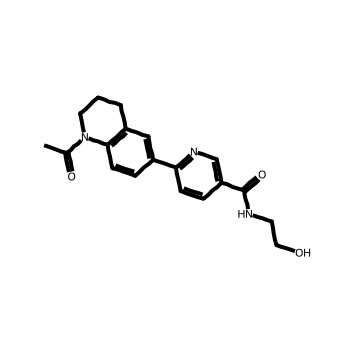 CC(=O)N1CCCc2cc(-c3ccc(C(=O)NCCO)cn3)ccc21